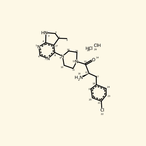 CC1CNc2ncnc(N3CCN(C(=O)[C@H](N)Cc4ccc(Cl)cc4)CC3)c21.Cl.Cl